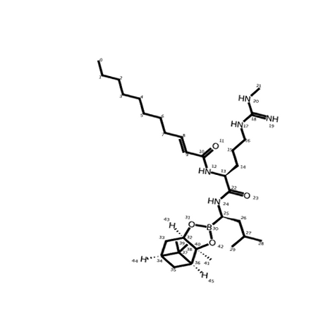 CCCCCCCC/C=C/C(=O)N[C@@H](CCCNC(=N)NC)C(=O)N[C@@H](CC(C)C)B1O[C@@H]2C[C@@H]3C[C@@H](C3(C)C)[C@]2(C)O1